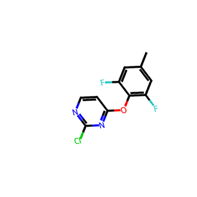 Cc1cc(F)c(Oc2ccnc(Cl)n2)c(F)c1